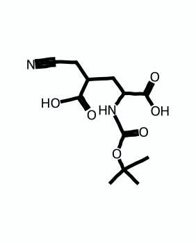 CC(C)(C)OC(=O)NC(CC(CC#N)C(=O)O)C(=O)O